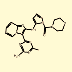 Cc1nc(N)nc(-c2c(Nc3ccnn3C(=O)N3CCOCC3)nc3ccccn23)n1